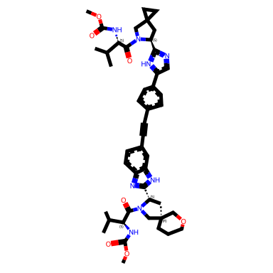 COC(=O)N[C@H](C(=O)N1CC2(CC2)C[C@H]1c1ncc(-c2ccc(C#Cc3ccc4nc([C@@H]5C[C@]6(CCCOC6)CN5C(=O)[C@@H](NC(=O)OC)C(C)C)[nH]c4c3)cc2)[nH]1)C(C)C